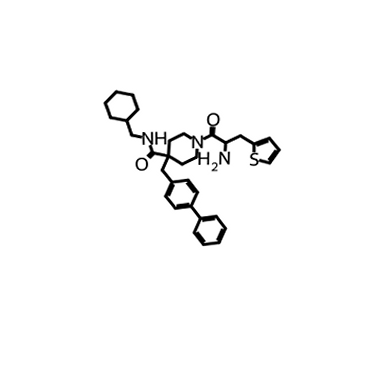 NC(Cc1cccs1)C(=O)N1CCC(Cc2ccc(-c3ccccc3)cc2)(C(=O)NCC2CCCCC2)CC1